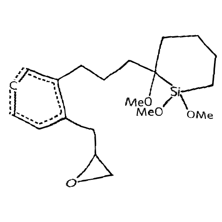 COC1(CCCc2ccccc2CC2CO2)CCCC[Si]1(OC)OC